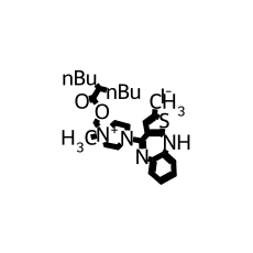 CCCCC(CCCC)C(=O)OC[N+]1(C)CCN(C2=Nc3ccccc3Nc3sc(C)cc32)CC1.[I-]